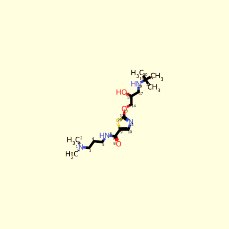 CN(C)CCCNC(=O)c1cnc(OCC(O)CNC(C)(C)C)s1